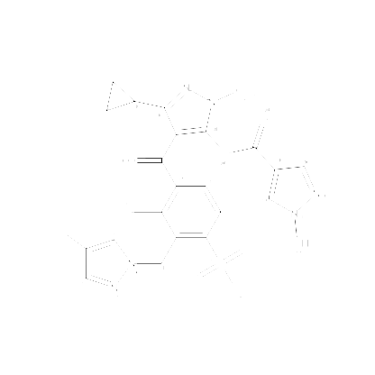 Cc1cnn(Cc2c(S(C)(=O)=O)ccc(C(=O)c3c(C4CC4)nn(C)c3OC(=O)c3cnn(C)c3)c2Cl)c1